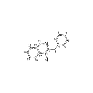 Ic1c(Cc2ccccc2)ncc2ccccc12